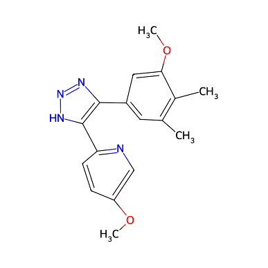 COc1ccc(-c2[nH]nnc2-c2cc(C)c(C)c(OC)c2)nc1